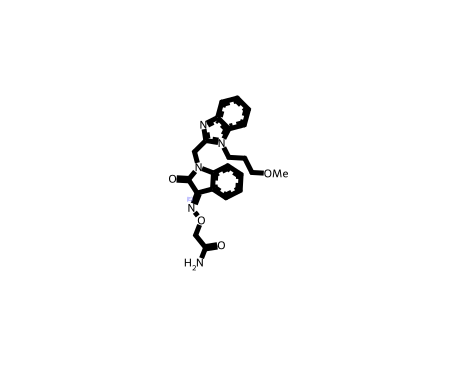 COCCCn1c(CN2C(=O)/C(=N/OCC(N)=O)c3ccccc32)nc2ccccc21